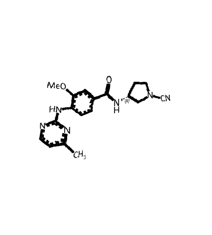 COc1cc(C(=O)N[C@@H]2CCN(C#N)C2)ccc1Nc1nccc(C)n1